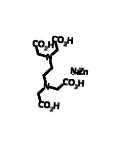 O=C(O)CN(CCN(CC(=O)O)CC(=O)O)CC(=O)O.[Na].[Zn]